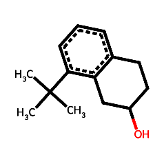 CC(C)(C)c1cccc2c1CC(O)CC2